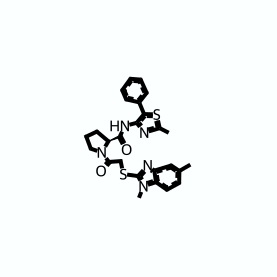 Cc1ccc2c(c1)nc(SCC(=O)N1CCC[C@H]1C(=O)Nc1nc(C)sc1-c1ccccc1)n2C